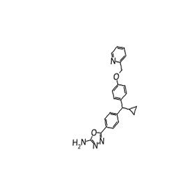 Nc1nnc(-c2ccc(C(c3ccc(OCc4ccccn4)cc3)C3CC3)cc2)o1